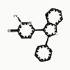 CC(C)n1nc(-c2c(-c3ccccc3)oc3ccccc23)ccc1=O